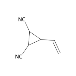 C=CC1C(C#N)C1C#N